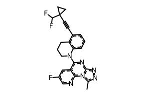 Cc1nnc2nc(N3CCCc4c(C#CC5(C(F)F)CC5)cccc43)c3cc(F)cnc3n12